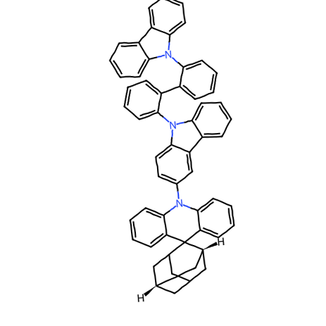 c1ccc(-n2c3ccccc3c3ccccc32)c(-c2ccccc2-n2c3ccccc3c3cc(N4c5ccccc5C5(c6ccccc64)C4CC6C[C@H](C4)C[C@H]5C6)ccc32)c1